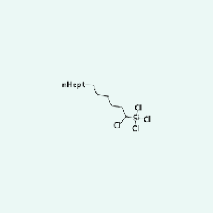 CCCCCCCCCCCCC(Cl)[Si](Cl)(Cl)Cl